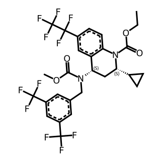 CCOC(=O)N1c2ccc(C(F)(F)C(F)(F)F)cc2[C@@H](N(Cc2cc(C(F)(F)F)cc(C(F)(F)F)c2)C(=O)OC)C[C@H]1C1CC1